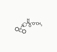 CCOCC(=O)NC1CCN(CC23CC(c4ccccc42)c2ccccc23)CC1